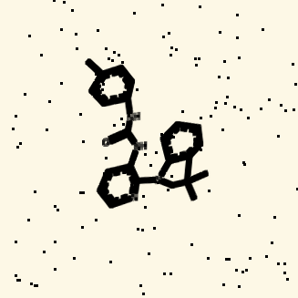 Cc1ccc(NC(=O)Nc2cccnc2N2CC(C)(C)c3ccccc32)cc1